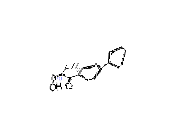 C/C(=N/O)C(=O)c1ccc(-c2ccccc2)cc1